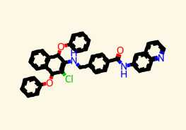 O=C(Nc1ccc2ncccc2c1)c1ccc(CNC2=C(Cl)C(Oc3ccccc3)c3ccccc3C2Oc2ccccc2)cc1